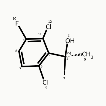 C[C@](O)(I)c1c(Cl)ccc(F)c1Cl